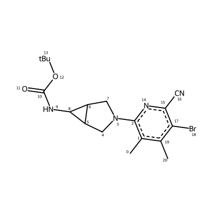 Cc1c(N2CC3C(C2)C3NC(=O)OC(C)(C)C)nc(C#N)c(Br)c1C